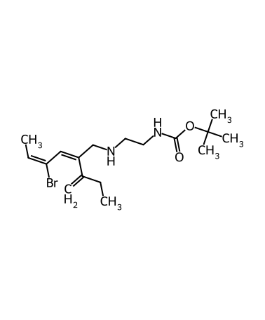 C=C(CC)/C(=C\C(Br)=C/C)CNCCNC(=O)OC(C)(C)C